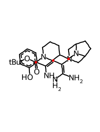 CC(C)(C)OC(=O)N1CCCC(CN2C3CCC2CN(C(/C=C(\N)c2ccccc2O)=C(N)N)C3)C1